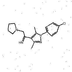 Cc1nn(-c2ccc(Cl)cc2)c(C)c1C(=N)CN1CCCC1